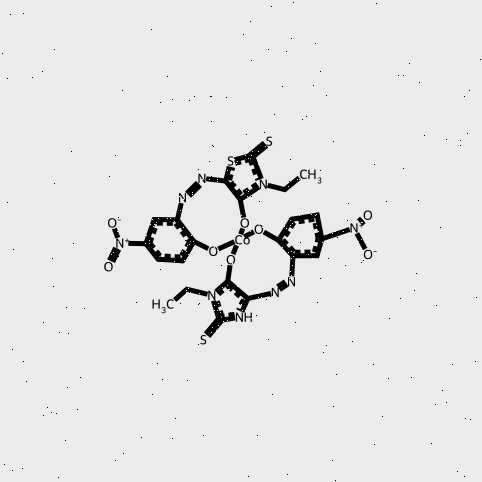 CCn1c2c([nH]c1=S)N=Nc1cc([N+](=O)[O-])ccc1[O][Co]1([O]c3ccc([N+](=O)[O-])cc3N=Nc3sc(=S)n(CC)c3[O]1)[O]2